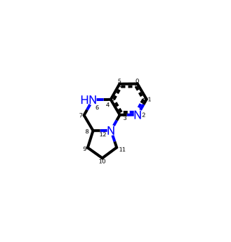 c1cnc2c(c1)NCC1CCCN21